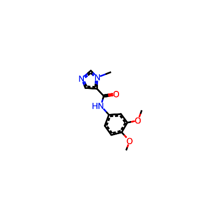 COc1ccc(NC(=O)c2cncn2C)cc1OC